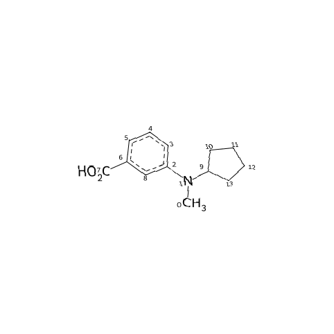 CN(c1cccc(C(=O)O)c1)C1CCCC1